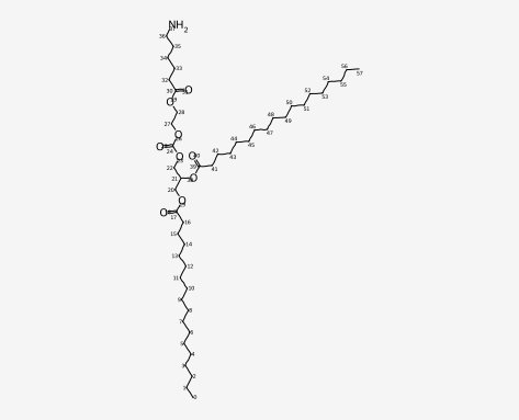 CCCCCCCCCCCCCCCCCC(=O)OCC(COC(=O)OCCOC(=O)CCCCCN)OC(=O)CCCCCCCCCCCCCCCCC